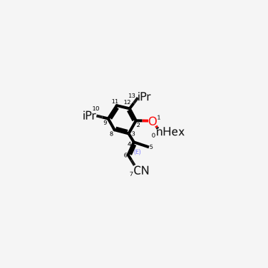 CCCCCCOc1c(/C(C)=C/C#N)cc(C(C)C)cc1C(C)C